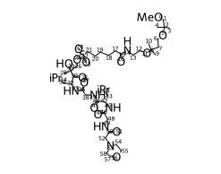 COCC(C)(C)OCCC(C)(C)OCCNC(=O)CCCCCS(=O)(=O)OC[C@@](C)(O)C(=O)[C@H](CC(C)C)NC(=O)CNC(=O)[C@H](CC(C)C)NC(=O)CNC(=O)CN1CCOCC1